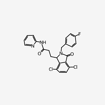 O=C(CCC1c2c(Cl)ccc(Cl)c2C(=O)N1Cc1ccc(F)cc1)Nc1ccccn1